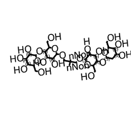 CCCCCCCCCC(CCCCCCCCC)(COC1OC(CO)[C@H](OC2OC(CO)[C@H](O)[C@@H](O)[C@H]2O)[C@@H](O)[C@H]1O)CO[C@H]1OC(CO)[C@H](O[C@H]2C[C@H](O)[C@@H](O)C(CO)O2)[C@@H](O)C1O